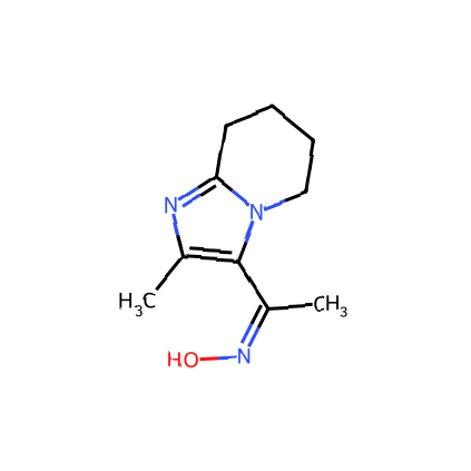 C/C(=N/O)c1c(C)nc2n1CCCC2